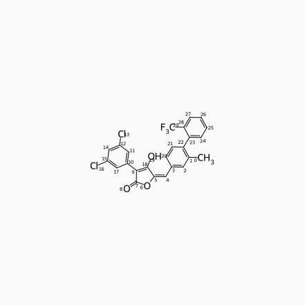 Cc1cc(C=C2OC(=O)C(c3cc(Cl)cc(Cl)c3)=C2O)ccc1-c1ccccc1C(F)(F)F